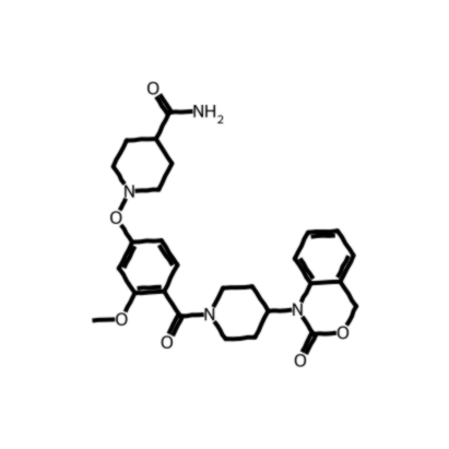 COc1cc(ON2CCC(C(N)=O)CC2)ccc1C(=O)N1CCC(N2C(=O)OCc3ccccc32)CC1